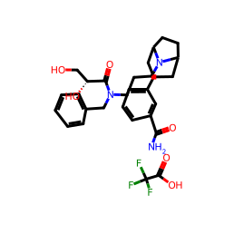 NC(=O)c1cccc(C2CC3CCC(C2)N3CCCN(Cc2ccccc2)C(=O)[C@H](O)CO)c1.O=C(O)C(F)(F)F